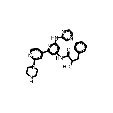 CC(Cc1ccccc1)C(=O)Nc1cc(Nc2cnccn2)nc(-c2ccnc(N3CCNCC3)c2)c1